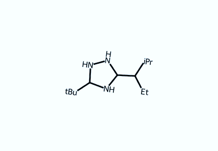 CCC(C(C)C)C1NNC(C(C)(C)C)N1